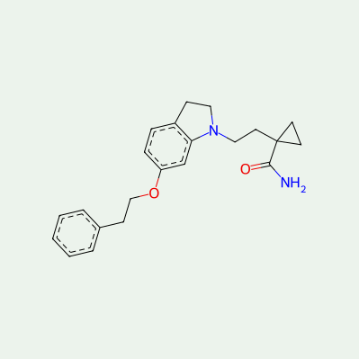 NC(=O)C1(CCN2CCc3ccc(OCCc4ccccc4)cc32)CC1